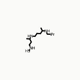 CC(C)CNC(C)CCCNC(C)CCNS